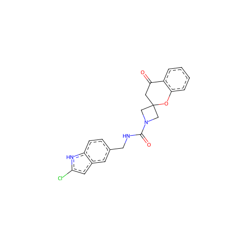 O=C1CC2(CN(C(=O)NCc3ccc4[nH]c(Cl)cc4c3)C2)Oc2ccccc21